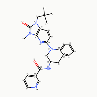 Cn1c(=O)n(CC(C)(C)C)c2ccc(N3CC(NC(=O)c4cccnc4)Cc4ccccc43)nc21